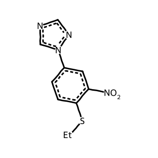 CCSc1ccc(-n2cncn2)cc1[N+](=O)[O-]